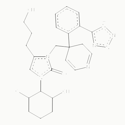 CCCCc1cn(C2C(C)CCCC2C)c(=O)n1CC1(c2ccccc2-c2nnn[nH]2)C=CN=CC1